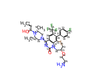 C=CC(O)N1[C@H](C)CN(c2nc(=O)n3c4c(c(-c5ccc(F)cc5)c(C(F)(F)F)cc24)SCC(OCCN)C3)C[C@@H]1C